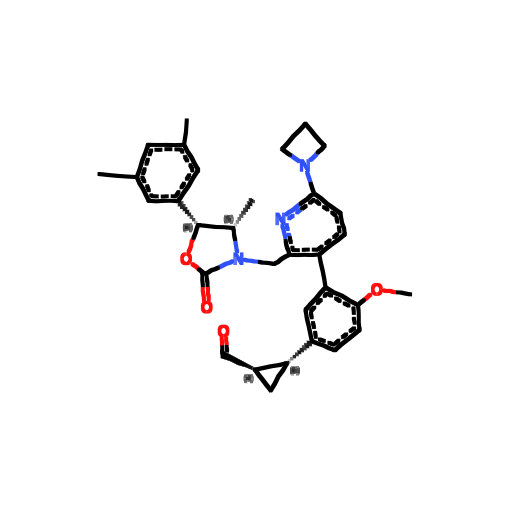 COc1ccc([C@@H]2C[C@H]2C=O)cc1-c1ccc(N2CCC2)nc1CN1C(=O)O[C@H](c2cc(C)cc(C)c2)[C@@H]1C